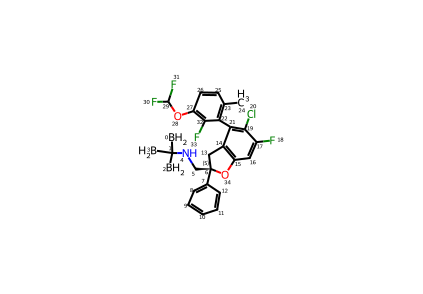 BC(B)(B)NC[C@@]1(c2ccccc2)Cc2c(cc(F)c(Cl)c2-c2c(C)ccc(OC(F)F)c2F)O1